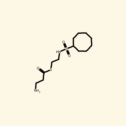 NCCC(=O)SCCNS(=O)(=O)C1CCCCCCC1